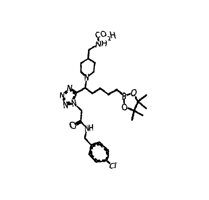 CC1(C)OB(CCCCC(c2nnnn2CC(=O)NCc2ccc(Cl)cc2)N2CCC(CNC(=O)O)CC2)OC1(C)C